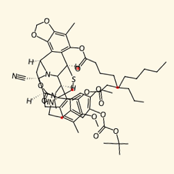 CCCCCCCC(=O)Oc1c(C)c2c(c3c1[C@H]1SC[C@]4(NCCc5cc(OC(=O)OC(C)(C)C)c(OC)cc54)C(=O)OC[C@@H]3N3C1[C@H]1c4c(cc(C)c(OC)c4OC(=O)CCCCCCC)C[C@@H]([C@@H]3C#N)N1C)OCO2